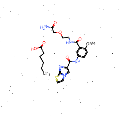 CCCCCC(=O)O.COc1ccc(NC(=O)c2cn3ccsc3n2)cc1C(=O)NCCOCC(N)=O